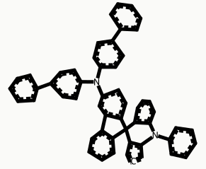 c1ccc(-c2ccc(N(c3ccc(-c4ccccc4)cc3)c3ccc4c(c3)-c3ccccc3C43c4ccccc4N(c4ccccc4)c4ccccc43)cc2)cc1